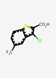 O=C(O)c1sc2ccc(C(F)(F)F)cc2c1Cl